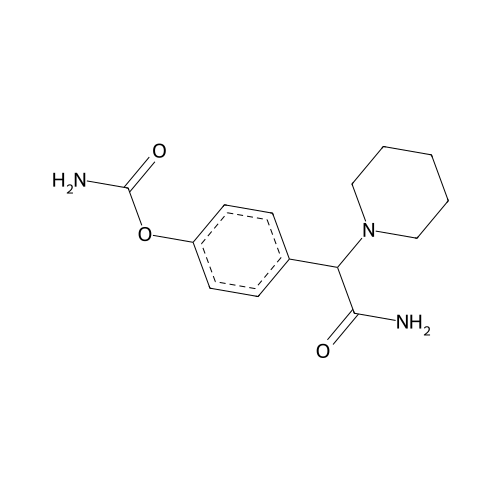 NC(=O)Oc1ccc(C(C(N)=O)N2CCCCC2)cc1